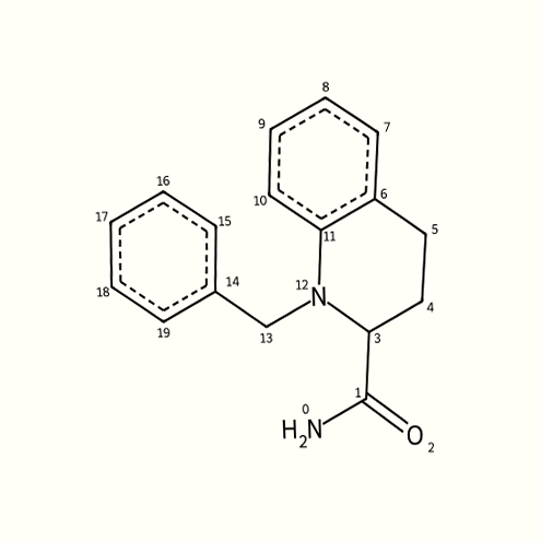 NC(=O)C1CCc2ccccc2N1Cc1ccccc1